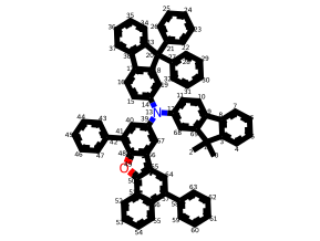 CC1(C)c2ccccc2-c2ccc(N(c3ccc4c(c3)C(c3ccccc3)(c3ccccc3)c3ccccc3-4)c3cc(-c4ccccc4)c4oc5c6ccccc6c(-c6ccccc6)cc5c4c3)cc21